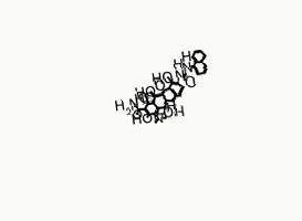 C[C@H]1c2ccc(NC(=O)Nc3cccc4ccccc34)c(O)c2C(=O)C2=C(O)[C@]3(O)C(=O)C(C(N)=O)=C(O)[C@@H](N(C)C)[C@@H]3[C@@H](O)[C@@H]21